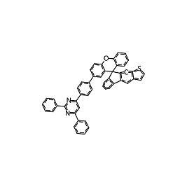 c1ccc(-c2cc(-c3ccc(-c4ccc5c(c4)C4(c6ccccc6O5)c5ccccc5-c5cc6ccsc6cc54)cc3)nc(-c3ccccc3)n2)cc1